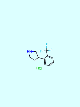 Cl.FC(F)(F)c1ccccc1C1CCNC1